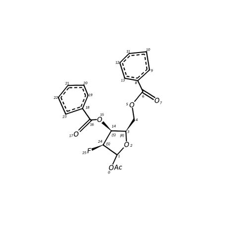 CC(=O)OC1O[C@H](COC(=O)c2ccccc2)[C@H](OC(=O)c2ccccc2)[C@@H]1F